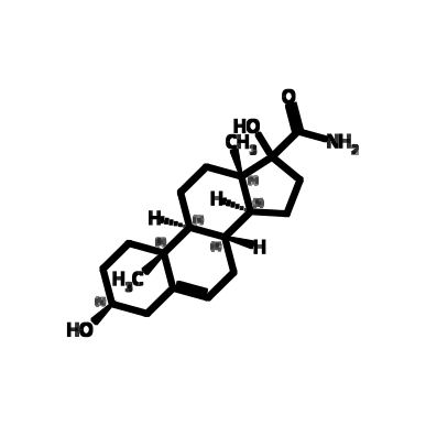 C[C@]12CC[C@H](O)CC1=CC[C@@H]1[C@@H]2CC[C@@]2(C)[C@H]1CCC2(O)C(N)=O